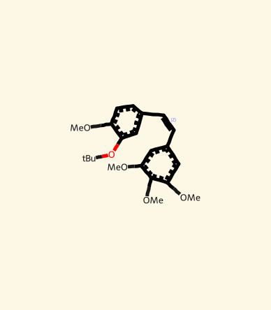 COc1ccc(/C=C\c2cc(OC)c(OC)c(OC)c2)cc1OC(C)(C)C